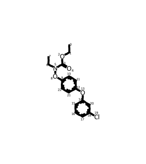 CCOC(=O)N(CC)Oc1ccc(Oc2cccc(Cl)c2)cc1